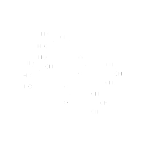 CC(C)(C)CCC(=O)Oc1ccc(O)c(C(C)(C)C)c1.CC(C)(C)CCC(=O)Oc1ccc(O)c(C(C)(C)C)c1